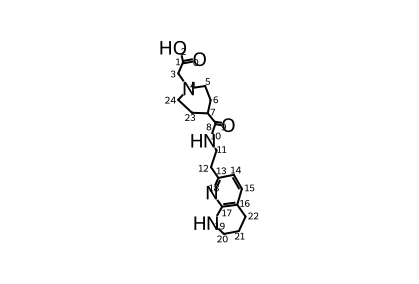 O=C(O)CN1CCC(C(=O)NCCc2ccc3c(n2)NCCC3)CC1